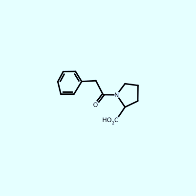 O=C(O)C1CCCN1C(=O)Cc1ccccc1